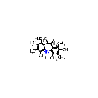 CC1=C(C)c2c(C)c(C)c(C)c(C)c2Nc2c(C)c(C)c(C)c(C)c21